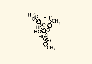 CCC(C)c1ccc(Oc2cc(NC(=O)c3ccc(C(=O)OC)cc3)c(O)cc2CN(O)CS(=O)(=O)c2cccc(C)c2)cc1